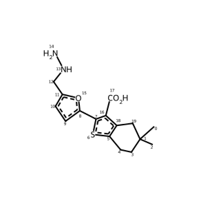 CC1(C)CCc2sc(-c3ccc(CNN)o3)c(C(=O)O)c2C1